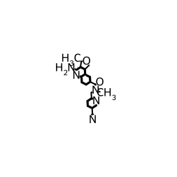 C[C@H]1OCc2c1c(N)nc1ccc(C(=O)N(C)Cc3ccc(C#N)cn3)cc21